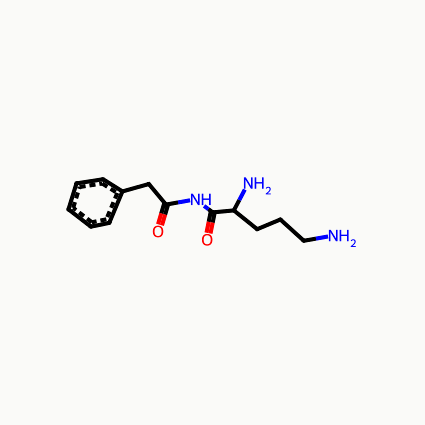 NCCCC(N)C(=O)NC(=O)Cc1ccccc1